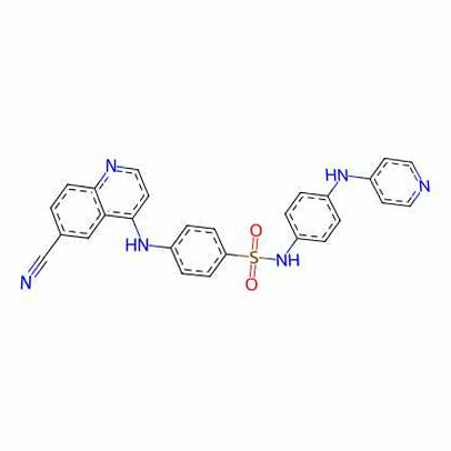 N#Cc1ccc2nccc(Nc3ccc(S(=O)(=O)Nc4ccc(Nc5ccncc5)cc4)cc3)c2c1